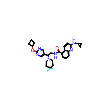 O=C(NCC(c1cnc(OC2CCC2)nc1)N1CCC(F)(F)CC1)c1cccc2nc(NC3CC3)ccc12